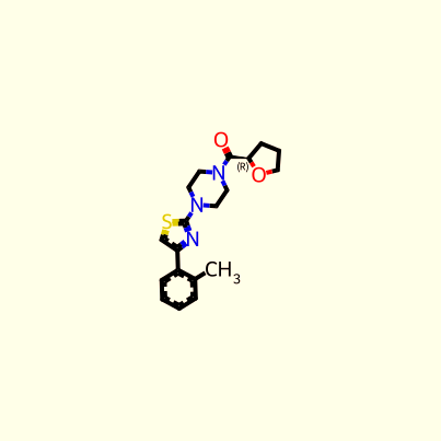 Cc1ccccc1-c1csc(N2CCN(C(=O)[C@H]3CCCO3)CC2)n1